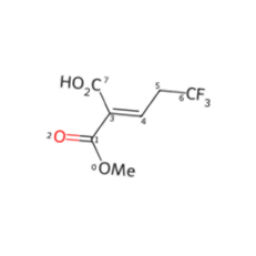 COC(=O)C(=CCC(F)(F)F)C(=O)O